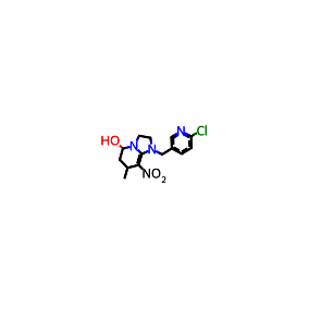 CC1C[C@@H](O)N2CCN(Cc3ccc(Cl)nc3)C2=C1[N+](=O)[O-]